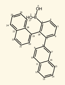 OB(O)c1cccc(-c2ccc3ccccc3c2)c1-c1cccc2ccccc12